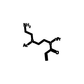 C=CC(=O)N(CCC)CCN(CCN)C(C)=O